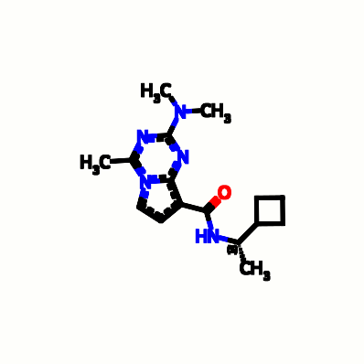 Cc1nc(N(C)C)nc2c(C(=O)N[C@@H](C)C3CCC3)ccn12